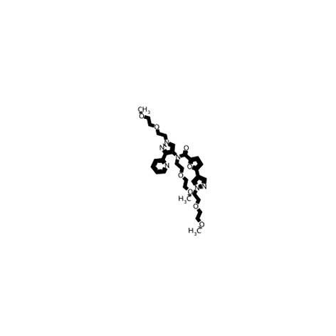 COCCOCCN(C(=O)c1ccc(-c2cnn(CCOCCOC)c2)o1)c1cn(CCOCCOC)nc1-c1ccccn1